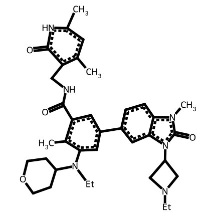 CCN1CC(n2c(=O)n(C)c3ccc(-c4cc(C(=O)NCc5c(C)cc(C)[nH]c5=O)c(C)c(N(CC)C5CCOCC5)c4)cc32)C1